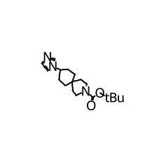 CC(C)(C)OC(=O)N1CCC2(CCC(n3ccnc3)CC2)CC1